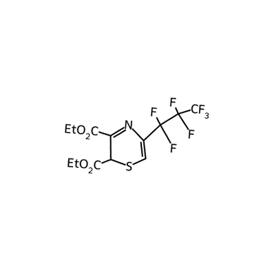 CCOC(=O)C1=NC(C(F)(F)C(F)(F)C(F)(F)F)=CSC1C(=O)OCC